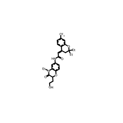 CCN1C(=O)C(CCO)Oc2ccc(NC(=O)/C=C3\CC(CC)(CC)Oc4cc(C(F)(F)F)ccc43)cc21